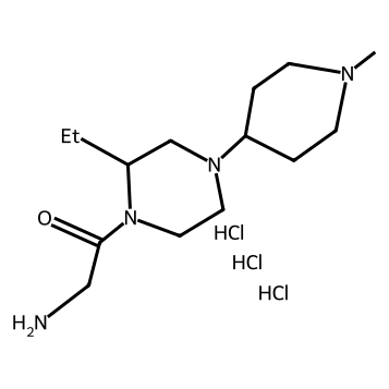 CCC1CN(C2CCN(C)CC2)CCN1C(=O)CN.Cl.Cl.Cl